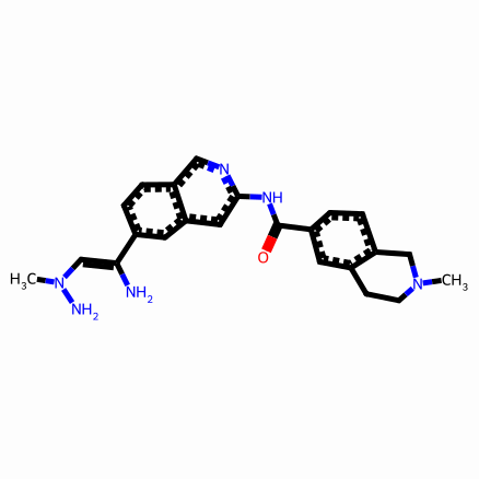 CN(N)/C=C(\N)c1ccc2cnc(NC(=O)c3ccc4c(c3)CCN(C)C4)cc2c1